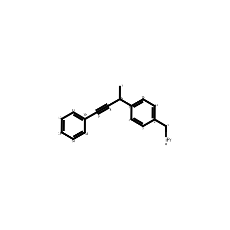 CC(C)Cc1ccc(C(C)C#Cc2ccccc2)cc1